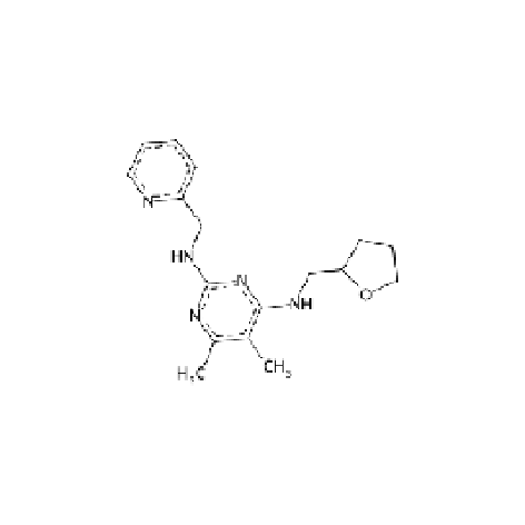 Cc1nc(NCc2ccccn2)nc(NCC2CCCO2)c1C